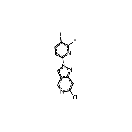 Fc1nc(-n2cc3cnc(Cl)cc3n2)ccc1I